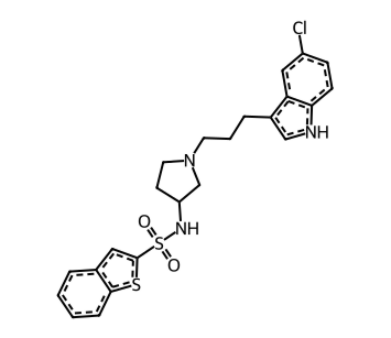 O=S(=O)(NC1CCN(CCCc2c[nH]c3ccc(Cl)cc23)C1)c1cc2ccccc2s1